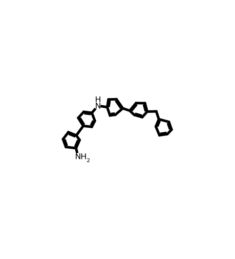 Nc1cccc(-c2ccc(Nc3ccc(-c4ccc(Cc5ccccc5)cc4)cc3)cc2)c1